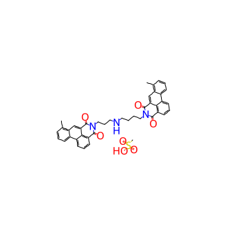 CS(=O)(=O)O.Cc1cccc2c1cc1c3c(cccc32)C(=O)N(CCCCNCCCN2C(=O)c3cccc4c3c(cc3c(C)cccc34)C2=O)C1=O